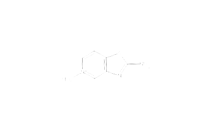 [CH2][n+]1ccc2sc(N)nc2c1